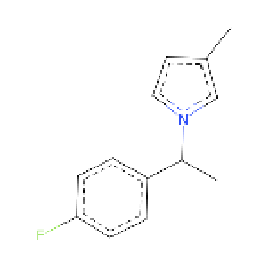 Cc1ccn(C(C)c2ccc(F)cc2)c1